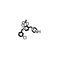 CC(=O)Oc1c(CN2CCNCC2)ccn(Cc2cccc(Cl)c2)c1=O